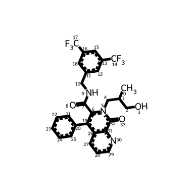 CC(CO)Cn1c(C(=O)NCc2cc(C(F)(F)F)cc(C(F)(F)F)c2)c(-c2ccccc2)c2cccnc2c1=O